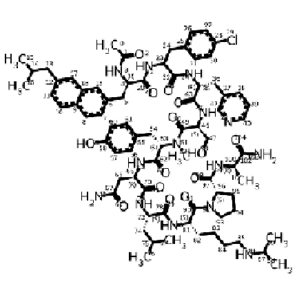 CC(=O)N[C@H](Cc1ccc2ccc(CC(C)C)cc2c1)C(=O)NC(Cc1ccc(Cl)cc1)C(=O)N[C@H](Cc1cccnc1)C(=O)N[C@@H](CO)C(=O)N(C)[C@@H](Cc1ccc(O)cc1)C(=O)N[C@H](CC(N)=O)C(=O)N[C@@H](CC(C)C)C(=O)N[C@@H](CCCCNC(C)C)C(=O)N1CCC[C@H]1C(=O)N[C@H](C)C(N)=O